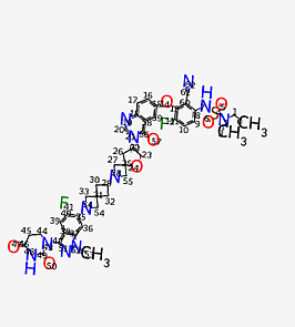 CCN(C)S(=O)(=O)Nc1ccc(F)c(Oc2ccc3ncn([C@@H]4COC5(C4)CN(C4CC6(C4)CN(c4cc7c(cc4F)c(N4CCC(=O)NC4=O)nn7C)C6)C5)c(=O)c3c2)c1C#N